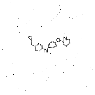 CN(c1ccc(CC2CC2)cc1)c1ccc(Oc2ccccn2)cc1